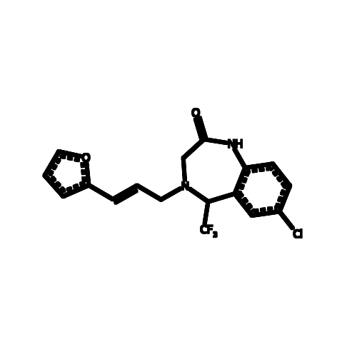 O=C1CN(CC=Cc2ccco2)C(C(F)(F)F)c2cc(Cl)ccc2N1